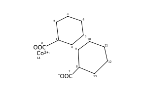 O=C([O-])C1CCCCC1.O=C([O-])C1CCCCC1.[Co+2]